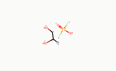 CCC(O)CO.O=P(O)(F)F